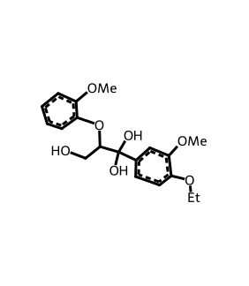 CCOc1ccc(C(O)(O)C(CO)Oc2ccccc2OC)cc1OC